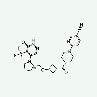 N#Cc1ccc(N2CCN(C(=O)[C@H]3C[C@H](OC[C@@H]4CCCN4c4cn[nH]c(=O)c4C(F)(F)F)C3)CC2)nc1